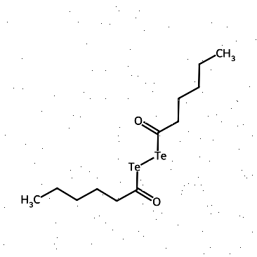 CCCCCC(=O)[Te][Te]C(=O)CCCCC